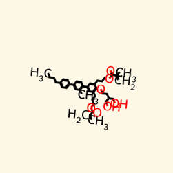 C=C(C)C(=O)OCCCc1cc(-c2ccc(-c3ccc(CCCC)cc3)cc2C)cc(CCCOC(=O)C(=C)C)c1OCCC(CO)CO